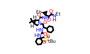 CCNC(=O)C(=O)[C@@]1(NC(=O)[C@@H]2[C@@H]3[C@H](CN2C(=O)[C@@H](NC(=O)NC2(CS(=O)(=O)C(C)(C)C)CCCCC2)C2CCCCC2)C3(C)C)C[C@@H]1CC